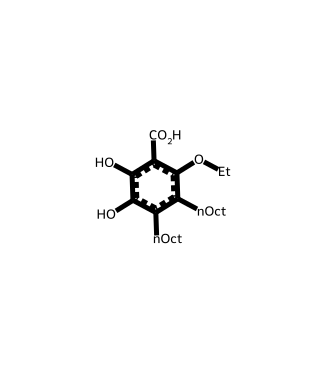 CCCCCCCCc1c(O)c(O)c(C(=O)O)c(OCC)c1CCCCCCCC